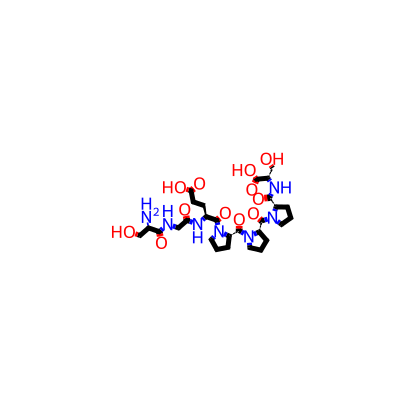 N[C@@H](CO)C(=O)NCC(=O)N[C@@H](CCC(=O)O)C(=O)N1CCC[C@H]1C(=O)N1CCC[C@H]1C(=O)N1CCC[C@H]1C(=O)N[C@@H](CO)C(=O)O